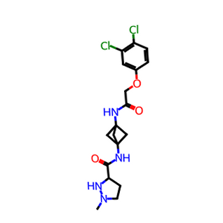 CN1CCC(C(=O)NC23CC(NC(=O)COc4ccc(Cl)c(Cl)c4)(C2)C3)N1